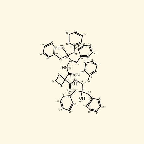 O=C(N[C@H](Cc1ccccc1)C(O)(Cc1ccccc1)Cc1ccccc1)C1(C(=O)N[C@H](Cc2ccccc2)C(O)(Cc2ccccc2)Cc2ccccc2)CCC1